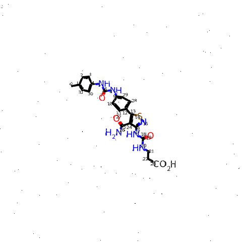 Cc1ccc(NC(=O)Nc2ccc(-c3snc(NC(=O)NCCC(=O)O)c3C(N)=O)cc2)cc1